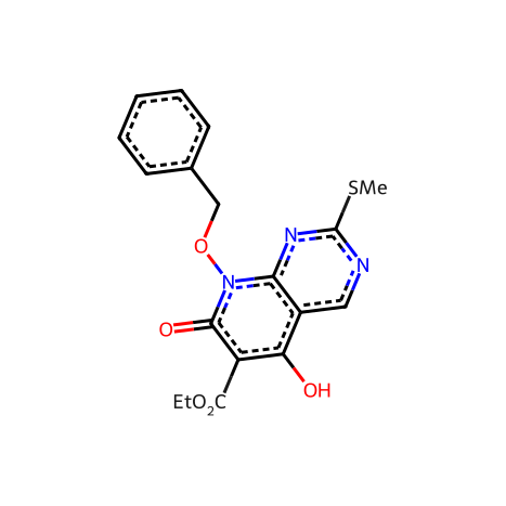 CCOC(=O)c1c(O)c2cnc(SC)nc2n(OCc2ccccc2)c1=O